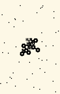 Nc1c(NC(c2ccc(-c3ccccc3)cc2)C2Cc3ccccc3-c3c(c4ccccc4c4c3sc3ccccc34)N2)oc2ccccc12